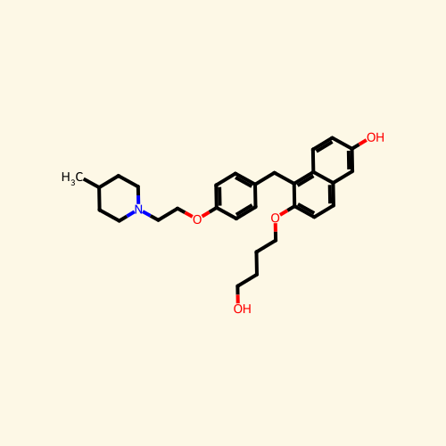 CC1CCN(CCOc2ccc(Cc3c(OCCCCO)ccc4cc(O)ccc34)cc2)CC1